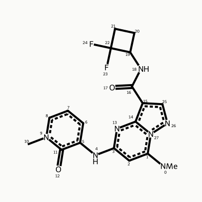 CNc1cc(Nc2cccn(C)c2=O)nc2c(C(=O)NC3CCC3(F)F)cnn12